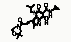 Cc1nn2c(O)c(C(=O)NC3CC3)c(=O)n(CC(C)C)c2c1/C=C/C(=O)N1CCOC(C)(C)C1